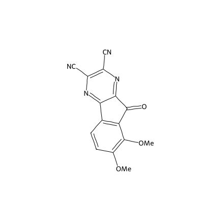 COc1ccc2c(c1OC)C(=O)c1nc(C#N)c(C#N)nc1-2